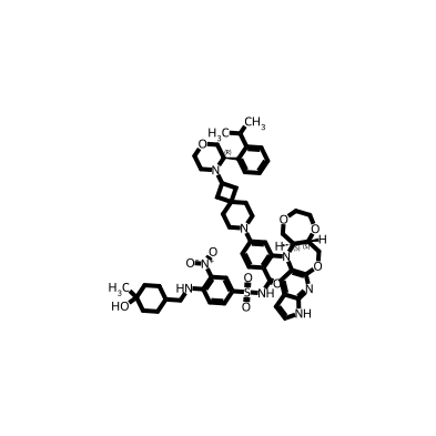 CC(C)c1ccccc1[C@@H]1COCCN1C1CC2(CCN(c3ccc(C(=O)NS(=O)(=O)c4ccc(NCC5CCC(C)(O)CC5)c([N+](=O)[O-])c4)c(N4c5cc6cc[nH]c6nc5OC[C@H]5OCCOC[C@@H]54)c3)CC2)C1